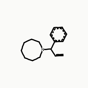 C=CC(c1ccccc1)N1CCCCCCC1